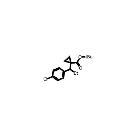 CCC(c1ccc(Cl)cc1)C1(C(=O)OC(C)(C)C)CC1